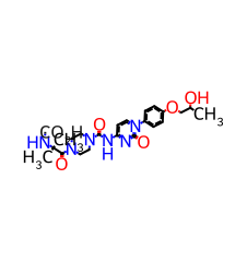 CC(O)COc1ccc(-n2ccc(NC(=O)N3CCN(C(=O)C(C)(C)NC(=O)O)CC3)nc2=O)cc1